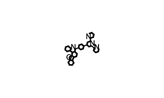 c1ccc(-c2cc(-c3ccc(-c4nc5ccccc5c5c4ccc4c6ccccc6oc45)cc3)cc(-c3ccccn3)n2)nc1